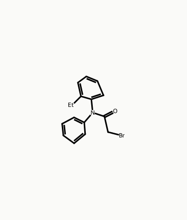 CCc1ccccc1N(C(=O)CBr)c1ccccc1